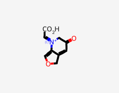 O=C(O)/C=[N+]1\CC(=O)C=C2COC=C21